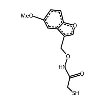 COc1ccc2occ(CONC(=O)CS)c2c1